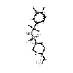 Cc1ccc(C(C)(C)NS(=O)(=O)N2CCC(CN)CC2)cc1C